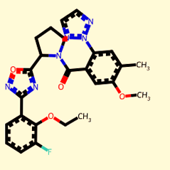 CCOc1c(F)cccc1-c1noc(C2CCCN2C(=O)c2cc(OC)c(C)cc2-n2nccn2)n1